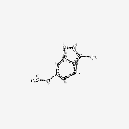 COc1[c]c2onc(C)c2cc1